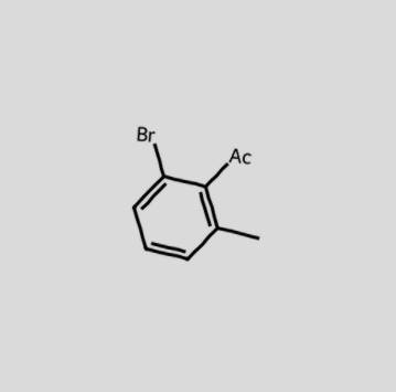 CC(=O)c1c(C)cccc1Br